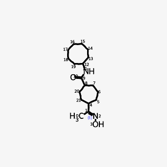 C/C(=N\O)C1CCCC(C(=O)NC2CCCCCCC2)CC1